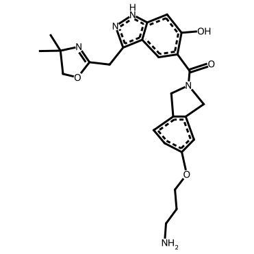 CC1(C)COC(Cc2n[nH]c3cc(O)c(C(=O)N4Cc5ccc(OCCCN)cc5C4)cc23)=N1